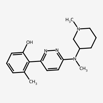 Cc1cccc(O)c1-c1ccc(N(C)C2CCCN(C)C2)nn1